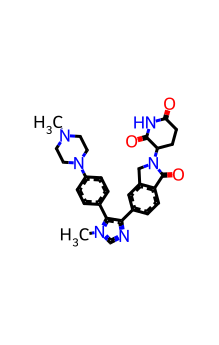 CN1CCN(c2ccc(-c3c(-c4ccc5c(c4)CN(C4CCC(=O)NC4=O)C5=O)ncn3C)cc2)CC1